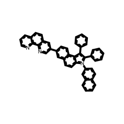 c1ccc(-c2c(-c3ccccc3)n(-c3ccc4ccccc4c3)c3ccc4cc(-c5cnc6c(ccc7cccnc76)c5)ccc4c23)cc1